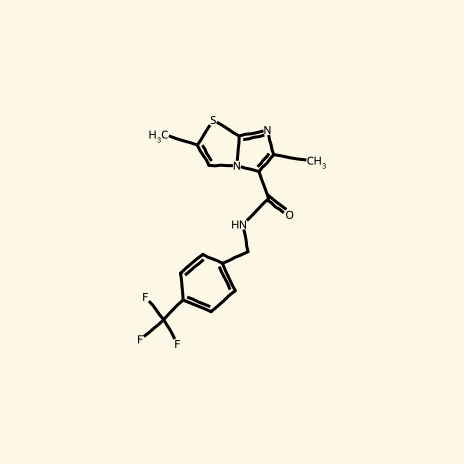 Cc1cn2c(C(=O)NCc3ccc(C(F)(F)F)cc3)c(C)nc2s1